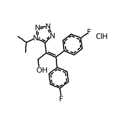 CC(C)n1nnnc1C(CO)=C(c1ccc(F)cc1)c1ccc(F)cc1.Cl